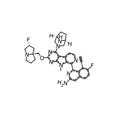 C#Cc1c(F)ccc2cc(N)nc(-c3nccc4c5c(N6C[C@H]7CC[C@@H](C6)N7)nc(OC[C@@]67CCCN6C[C@H](F)C7)nc5n(C)c34)c12